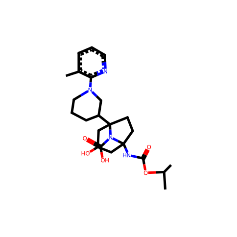 Cc1cccnc1N1CCCC(C23CCC(NC(=O)OC(C)C)(CC(O)C2)N3C(=O)O)C1